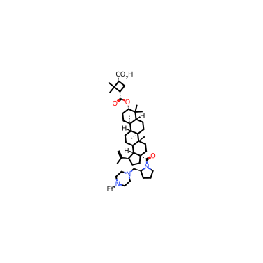 C=C(C)[C@@H]1CC[C@]2(C(=O)N3CCC[C@H]3CN3CCN(CC)CC3)CC[C@]3(C)C(CC[C@@H]4[C@@]5(C)CC[C@H](OC(=O)[C@H]6C[C@@H](C(=O)O)C6(C)C)C(C)(C)[C@@H]5CC[C@]43C)[C@@H]12